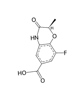 C[C@H]1Oc2c(F)cc(C(=O)O)cc2NC1=O